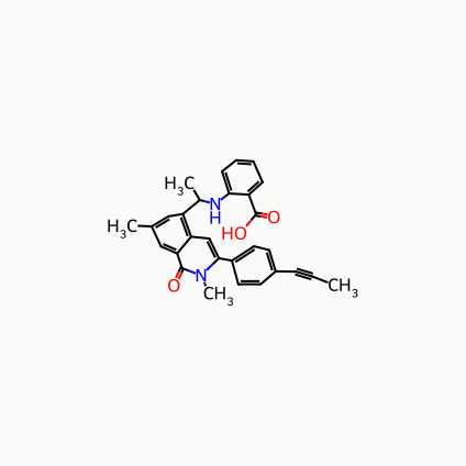 CC#Cc1ccc(-c2cc3c(C(C)Nc4ccccc4C(=O)O)cc(C)cc3c(=O)n2C)cc1